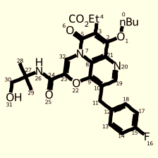 CCCCOc1c(C(=O)OCC)c(=O)n2c3c(c(Cc4ccc(F)cc4)cnc13)OC(C(=O)NC(C)(C)CO)=C2